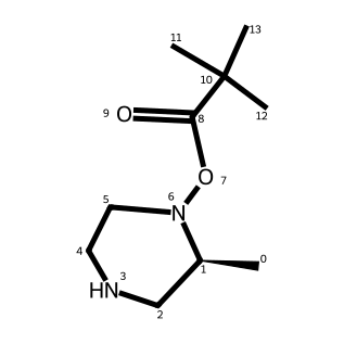 C[C@H]1CNCCN1OC(=O)C(C)(C)C